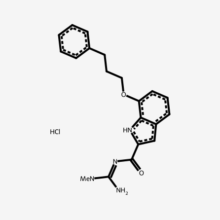 CNC(N)=NC(=O)c1cc2cccc(OCCCc3ccccc3)c2[nH]1.Cl